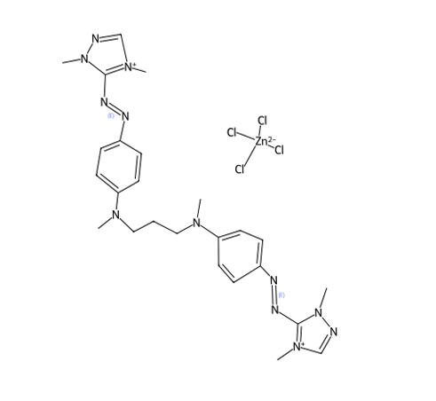 CN(CCCN(C)c1ccc(/N=N/c2n(C)nc[n+]2C)cc1)c1ccc(/N=N/c2n(C)nc[n+]2C)cc1.[Cl][Zn-2]([Cl])([Cl])[Cl]